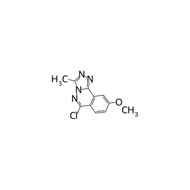 COc1ccc2c(Cl)nn3c(C)nnc3c2c1